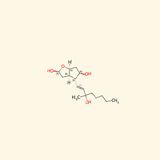 CCCCCC(C)(O)/C=C/[C@@H]1[C@H]2C[C@@H](O)O[C@H]2C[C@H]1O